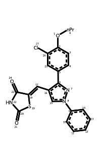 CCCOc1ccc(-c2nn(-c3ccccc3)cc2C=C2SC(=O)NC2=O)cc1Cl